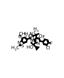 COc1cc(C(=O)NCC(O)(c2cc3c(c(-c4cc(Cl)c(F)cc4F)n2)OC[C@]3(C)C(N)=O)C2CC2)cc2sc(C)nc12